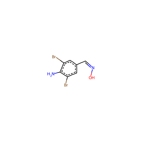 Nc1c(Br)cc(/C=N\O)cc1Br